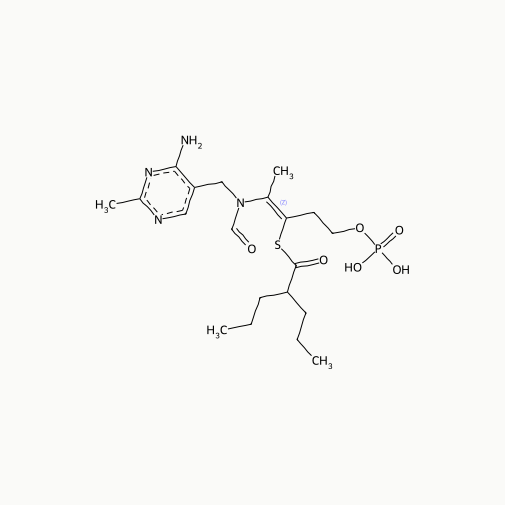 CCCC(CCC)C(=O)S/C(CCOP(=O)(O)O)=C(/C)N(C=O)Cc1cnc(C)nc1N